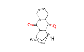 O=C1C2=C(CC=CC2)C(=O)C2C1[C@@H]1C=C[C@H]2C1